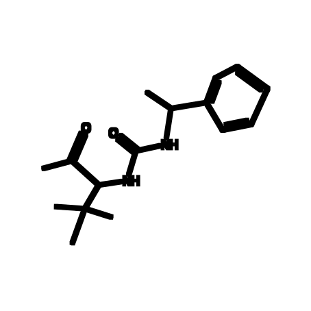 CC(=O)C(NC(=O)NC(C)c1ccccc1)C(C)(C)C